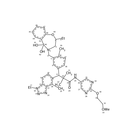 CCC1CN(Cc2cc(C(c3ccc4c(nnn4CC)c3C)C(C)(C)C(=O)Nc3cnc(OCCOC)nc3)ccc2C)S(O)(O)c2ccccc2O1